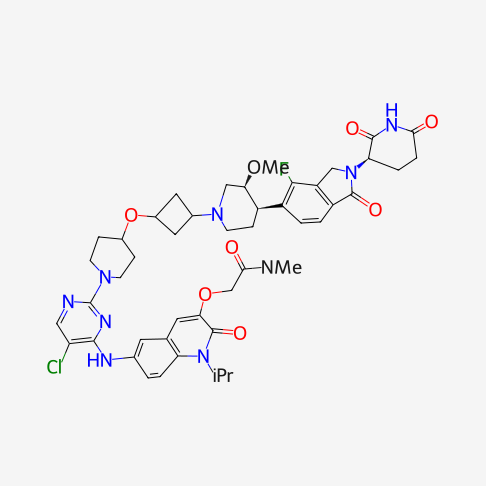 CNC(=O)COc1cc2cc(Nc3nc(N4CCC(OC5CC(N6CC[C@H](c7ccc8c(c7F)CN([C@@H]7CCC(=O)NC7=O)C8=O)[C@H](OC)C6)C5)CC4)ncc3Cl)ccc2n(C(C)C)c1=O